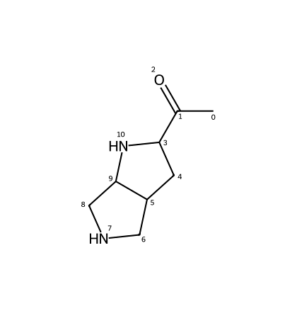 CC(=O)C1CC2CNCC2N1